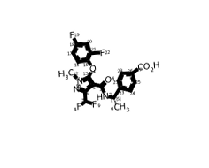 C[C@H](NC(=O)c1c(C(F)F)nn(C)c1Oc1ccc(F)cc1F)c1ccc(C(=O)O)cc1